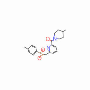 Cc1ccc(S(=O)(=O)Cc2cccc(C(=O)N3CCC(C)CC3)n2)cc1